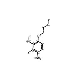 CNc1c(OCCOC)ccc(N)c1C